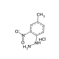 Cc1ccc(NN)c([N+](=O)[O-])c1.Cl